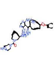 N=C(c1ccc(Oc2ccccc2)cc1)c1c(N)ncnc1NC1CCCN(C(=O)N2CCNCC2)C1